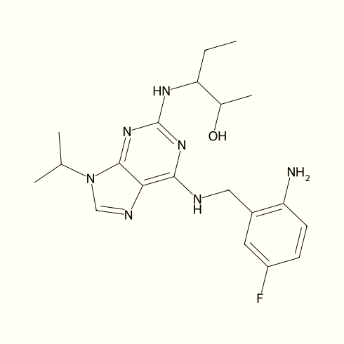 CCC(Nc1nc(NCc2cc(F)ccc2N)c2ncn(C(C)C)c2n1)C(C)O